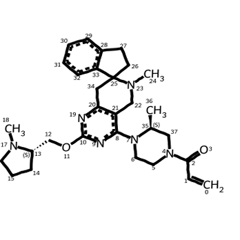 C=CC(=O)N1CCN(c2nc(OC[C@@H]3CCCN3C)nc3c2CN(C)C2(CCc4ccccc42)C3)[C@@H](C)C1